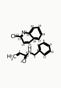 C=CC(=O)NCc1ccccc1.Clc1ccc2ccccc2n1